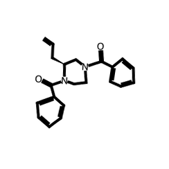 C=CC[C@H]1CN(C(=O)c2ccccc2)CCN1C(=O)c1ccccc1